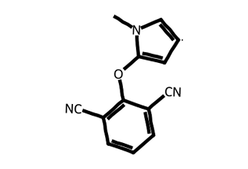 Cn1c[c]cc1Oc1c(C#N)cccc1C#N